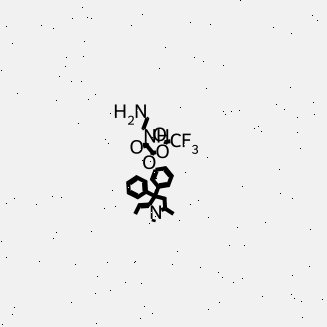 CC=C1N(C)C(C)CC1(c1ccccc1)c1cccc(OC(OC(=O)C(F)(F)F)C(=O)NCCN)c1